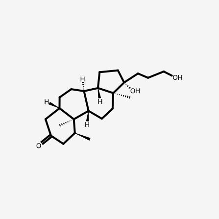 C[C@H]1CC(=O)C[C@@H]2CC[C@@H]3[C@H](CC[C@@]4(C)[C@H]3CC[C@@]4(O)CCCO)[C@]21C